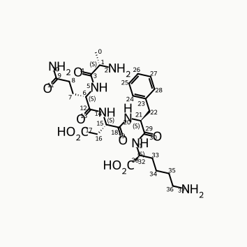 C[C@H](N)C(=O)N[C@@H](CCC(N)=O)C(=O)N[C@@H](CC(=O)O)C(=O)N[C@@H](Cc1ccccc1)C(=O)N[C@@H](CCCCN)C(=O)O